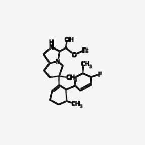 CCOC(O)C1NCC2CCC(C)(C3=CCCC(C)C3C3C=CC(F)C(C)C3)CN21